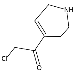 O=C(CCl)C1=CCNCC1